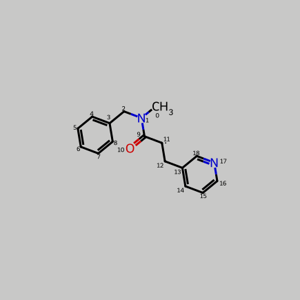 CN(Cc1ccccc1)C(=O)[CH]Cc1cccnc1